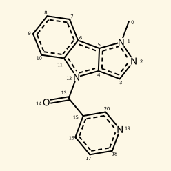 Cn1ncc2c1c1ccccc1n2C(=O)c1cccnc1